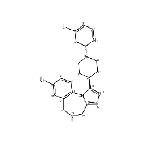 ClC1=CC=NC([C@H]2CC[C@H](c3nnc4n3-c3ccc(Cl)cc3CNC4)CC2)C1